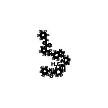 CC(Nc1nccc(-n2cnc3cc(NCC4CCCN4C(=O)OCc4ccccc4)ccc32)n1)C1CCCN(C(=O)Nc2ccccc2)C1